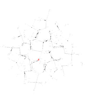 FC(F)(F)c1c([B-](c2c(C(F)(F)F)c(C(F)(F)F)c(C(F)(F)F)c(C(F)(F)F)c2C(F)(F)F)(c2c(C(F)(F)F)c(C(F)(F)F)c(C(F)(F)F)c(C(F)(F)F)c2C(F)(F)F)c2c(C(F)(F)F)c(C(F)(F)F)c(C(F)(F)F)c(C(F)(F)F)c2C(F)(F)F)c(C(F)(F)F)c(C(F)(F)F)c(C(F)(F)F)c1C(F)(F)F.[Na+]